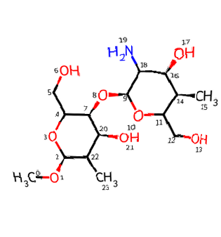 CO[C@H]1OC(CO)[C@@H](O[C@@H]2OC(CO)[C@H](C)[C@H](O)C2N)[C@@H](O)C1C